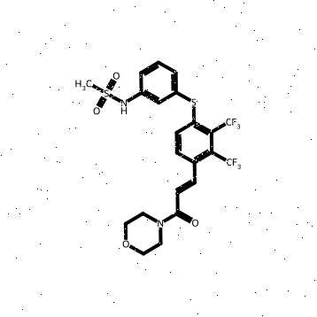 CS(=O)(=O)Nc1cccc(Sc2ccc(C=CC(=O)N3CCOCC3)c(C(F)(F)F)c2C(F)(F)F)c1